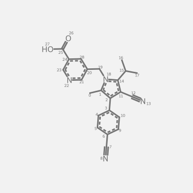 Cc1c(-c2ccc(C#N)cc2)c(C#N)c(C(C)C)n1Cc1cncc(C(=O)O)c1